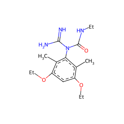 CCNC(=O)N(C(=N)N)c1c(C)c(OCC)cc(OCC)c1C